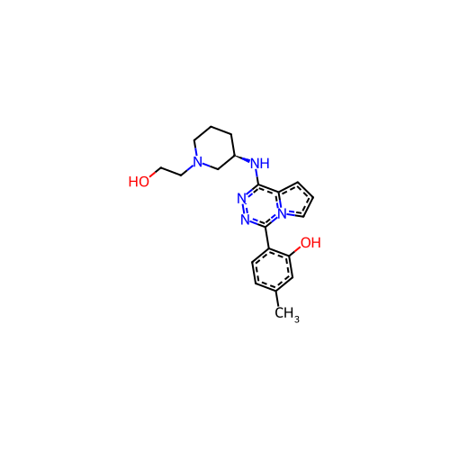 Cc1ccc(-c2nnc(N[C@@H]3CCCN(CCO)C3)c3cccn23)c(O)c1